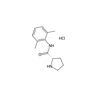 Cc1cccc(C)c1NC(=O)[C@@H]1CCCN1.Cl